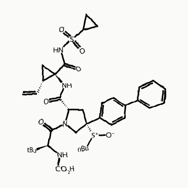 C=C[C@@H]1C[C@]1(NC(=O)[C@@H]1C[C@](c2ccc(-c3ccccc3)cc2)([S+]([O-])CCCC)CN1C(=O)[C@@H](NC(=O)O)C(C)(C)C)C(=O)NS(=O)(=O)C1CC1